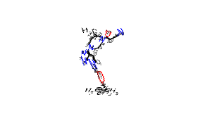 C[C@@H]1CCN(c2ncnc3c2ccn3COCC[Si](C)(C)C)CCCN(C(=O)CC#N)C1